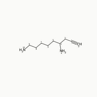 C#CCC(N)CCCCCN